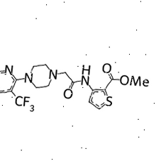 COC(=O)c1sccc1NC(=O)CN1CCN(c2ncccc2C(F)(F)F)CC1